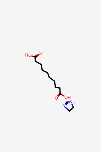 C1=NCCN1.O=C(O)CCCCCCCCC(=O)O